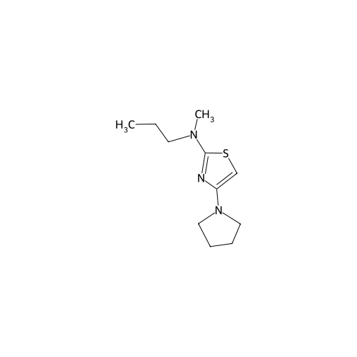 CCCN(C)c1nc(N2CCCC2)cs1